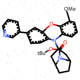 COc1cccc2c1Oc1cc(-c3cccnc3)ccc1N2C1CC2CCC(C1)N2C(=O)OC(C)(C)C